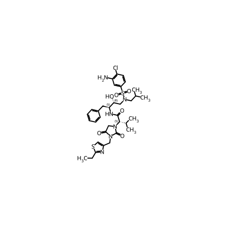 CCc1nc(CN2C(=O)CN([C@H](C(=O)N[C@@H](Cc3ccccc3)[C@H](O)CN(CC(C)C)S(=O)(=O)c3ccc(Cl)c(N)c3)C(C)C)C2=O)cs1